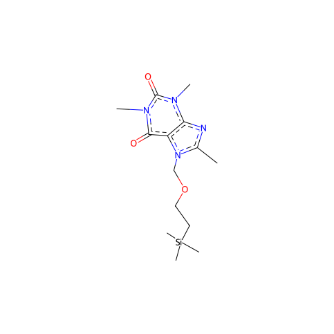 Cc1nc2c(c(=O)n(C)c(=O)n2C)n1COCC[Si](C)(C)C